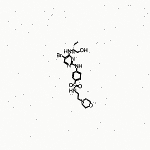 CC[C@H](CO)Nc1nc(Nc2ccc(S(=O)(=O)NCCN3CCOCC3)cc2)ncc1Br